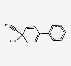 C#CC1(C=O)C=CC(c2ccccc2)=CC1